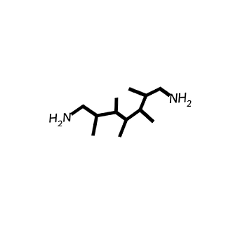 CC(CN)C(C)C(C)C(C)C(C)CN